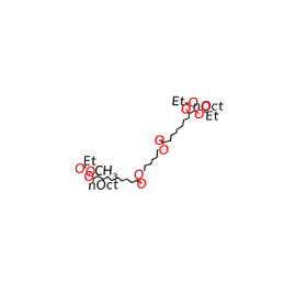 CCCCCCCCC(OOC(=O)CC)C(C)CCCCCCCC(=O)OCCCCCCOC(=O)CCCCCCCC(OC(=O)CC)C(CCCCCCCC)OC(=O)CC